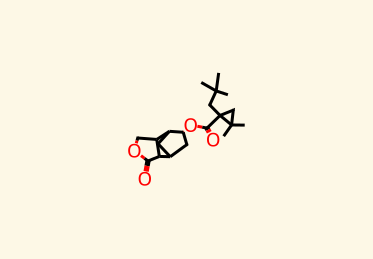 CC(C)(C)CC1(C(=O)OC2CC3CC2C2COC(=O)C32)CC1(C)C